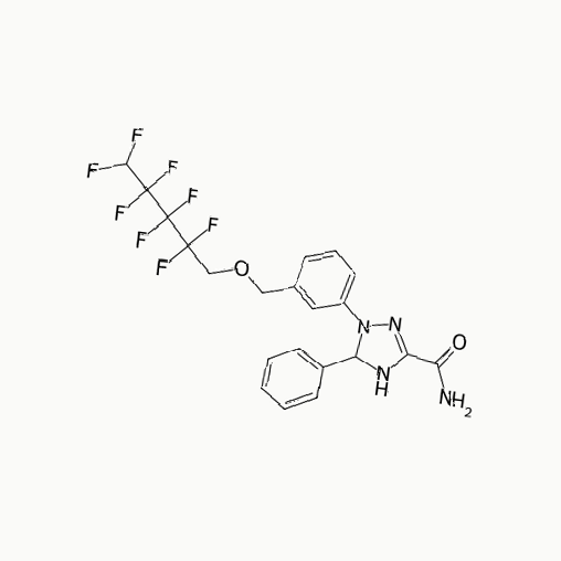 NC(=O)C1=NN(c2cccc(COCC(F)(F)C(F)(F)C(F)(F)C(F)F)c2)C(c2ccccc2)N1